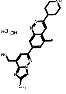 Cc1cn2nc(-c3cc(F)c4cc(C5CCNCC5)nnc4c3)cc(CC#N)c2n1.Cl.Cl